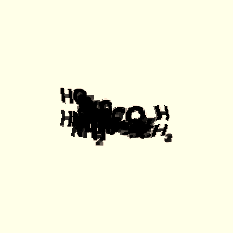 Cc1nnc(SCC2=C(C(=O)O)N3C(=O)C(NC(=O)C(NC(=O)NC(=N)N)c4ccc(O)cc4)[C@@H]3SC2)s1